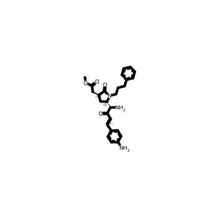 COC(=O)C[C@@H]1C[C@@H](C(N)C(=O)/C=C/c2ccc(N)cc2)N(CCCc2ccccc2)C1=O